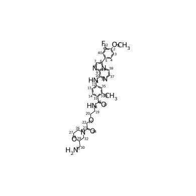 COc1ccc(-c2cnc3c(Nc4ccc(C(=O)NCCOCC(=O)N5CCOC(CN)C5)c(C)c4)nccn23)cc1F